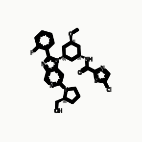 CO[C@H]1C[C@H](NC(=O)c2ncc(Cl)s2)C[C@H](n2c(-c3ccccc3F)nc3cnc(N4CCC[C@H]4CO)cc32)C1